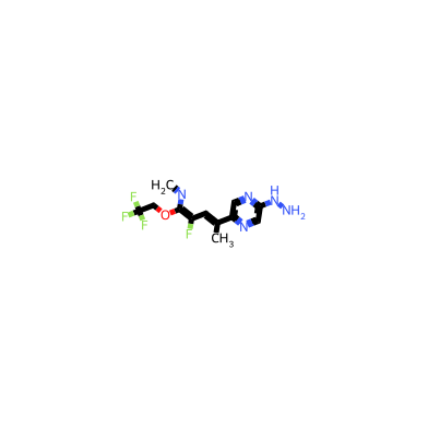 C=N/C(OCC(F)(F)F)=C(F)\C=C(/C)c1cnc(NN)cn1